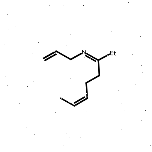 C=CC/N=C(/CC)CC/C=C\C